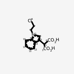 O=C(O)C(C(=O)O)c1cn(CCCl)c2ccccc12